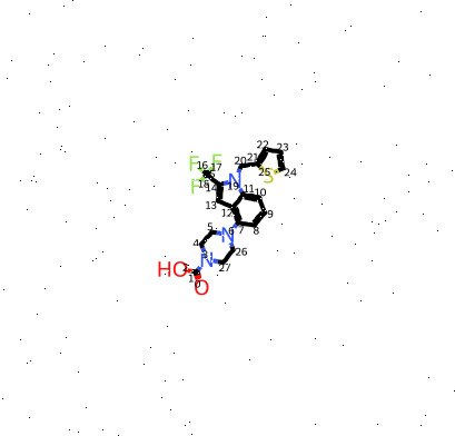 O=C(O)N1CCN(c2cccc3c2cc(C(F)(F)F)n3Cc2cccs2)CC1